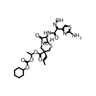 CC=CC1(C(=O)OC(C)OC(=O)OC2CCCCC2)CS[C@@H]2C(NC(=O)C(=NO)c3csc(N)n3)C(=O)N2C1